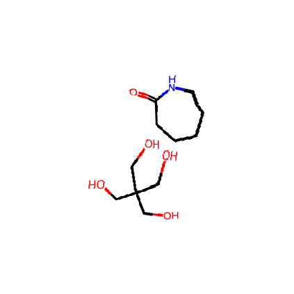 O=C1CCCCCN1.OCC(CO)(CO)CO